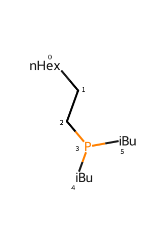 CCCCCCCCP(C(C)CC)C(C)CC